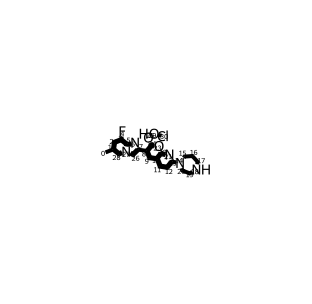 Cc1cc(F)c2nc(-c3cc4ccc(N5CCCNCC5)nc4oc3=O)cn2c1.OCl